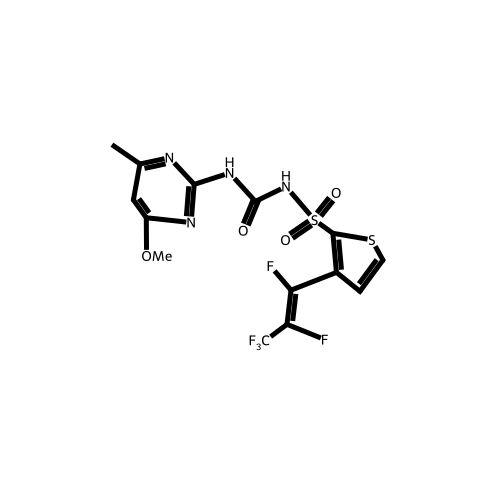 COc1cc(C)nc(NC(=O)NS(=O)(=O)c2sccc2C(F)=C(F)C(F)(F)F)n1